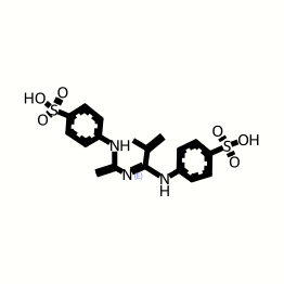 C=C(/N=C(/Nc1ccc(S(=O)(=O)O)cc1)C(=C)C)Nc1ccc(S(=O)(=O)O)cc1